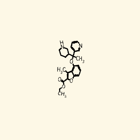 CCOC(=O)c1oc2cccc(OC(C)(c3cccnc3)C3CCCNC3)c2c1C